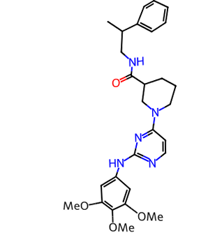 COc1cc(Nc2nccc(N3CCCC(C(=O)NCC(C)c4ccccc4)C3)n2)cc(OC)c1OC